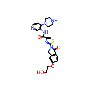 O=C(Nc1cnccc1N1CCNCC1)c1csc(N2Cc3cc(OCCO)ccc3C2=O)n1